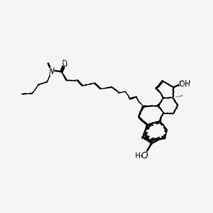 CCCCN(C)C(=O)CCCCCCCCCC[C@@H]1Cc2cc(O)ccc2C2CC[C@]3(C)C(O)CCC3C21